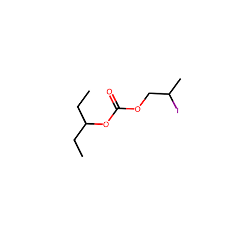 CCC(CC)OC(=O)OCC(C)I